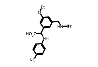 CCOc1cc(CNC(C)C)cc(C(Nc2ccc(C#N)cc2)C(=O)O)c1